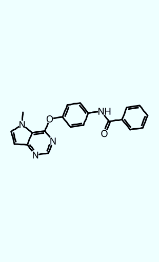 Cn1ccc2ncnc(Oc3ccc(NC(=O)c4ccccc4)cc3)c21